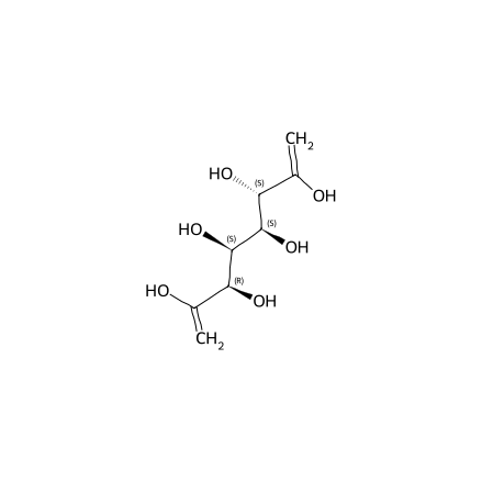 C=C(O)[C@@H](O)[C@@H](O)[C@H](O)[C@@H](O)C(=C)O